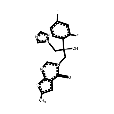 Cc1cc2c(=O)n(C[C@](O)(Cn3cncn3)c3ccc(F)cc3F)cnc2s1